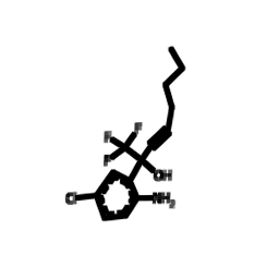 CCCCC#CC(O)(c1cc(Cl)ccc1N)C(F)(F)F